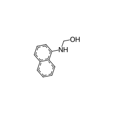 OCNc1cccc2ccccc12